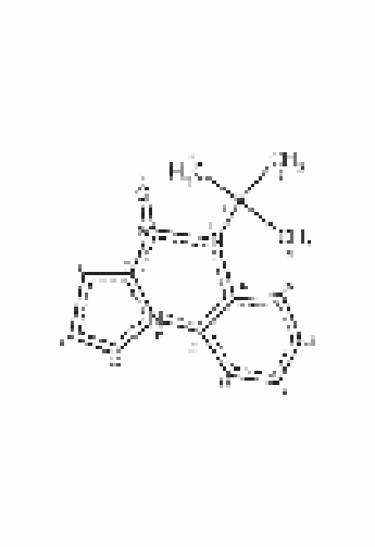 CC(C)(C)n1c(=O)c2cccn2c2ccccc21